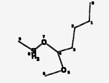 CCCCC(OC)O[SiH2]C